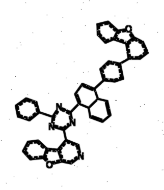 C1=CC2C(c3ccc(-c4cccc5oc6ccccc6c45)cc3)=CC=C(c3nc(-c4ccccc4)nc(-c4cncc5oc6ccccc6c45)n3)C2C=C1